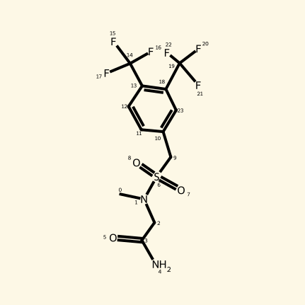 CN(CC(N)=O)S(=O)(=O)Cc1ccc(C(F)(F)F)c(C(F)(F)F)c1